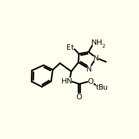 CCc1c(C(Cc2ccccc2)NC(=O)OC(C)(C)C)nn(C)c1N